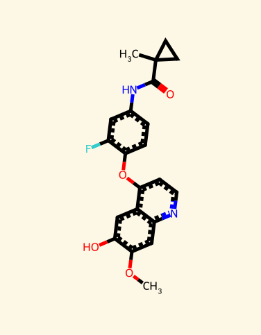 COc1cc2nccc(Oc3ccc(NC(=O)C4(C)CC4)cc3F)c2cc1O